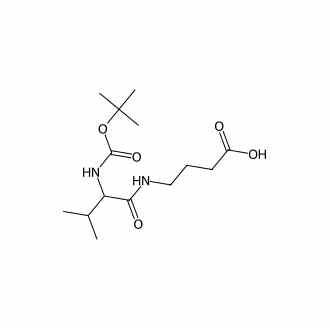 CC(C)C(NC(=O)OC(C)(C)C)C(=O)NCCCC(=O)O